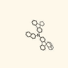 c1ccc2c(c1)-c1cc(N(c3ccc4c(c3)-c3ccccc3C43C4CC5CC(C4)CC3C5)c3ccc4ccccc4c3)ccc1C21CCCC1